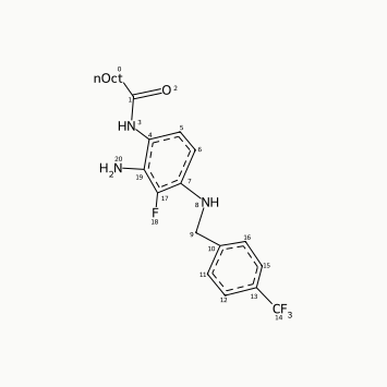 CCCCCCCCC(=O)Nc1ccc(NCc2ccc(C(F)(F)F)cc2)c(F)c1N